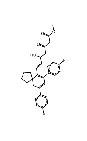 COC(=O)CC(=O)CC(O)C=CC1=C(c2ccc(F)cc2)C=C(c2ccc(F)cc2)CC12CCCC2